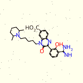 CC1CCCC(C)N1CCCCCn1c(=O)c(-c2cccc(C(=N)N)c2O)nc2ccc(C(=O)O)cc21